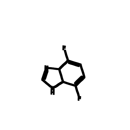 FC1=CC=C(F)C2NC=NC12